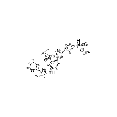 Cc1cc(Nc2ccc(-c3cnc(N4CC5C(C4)C5NC(=O)OC(C)C)s3)c(S(=O)(=O)C3CC3)c2)nn1C1CCCCO1